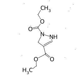 CCOC(=O)C1=CNN(C(=O)OCC)C1